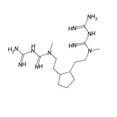 CN(CCC1CCCC1CCN(C)C(=N)NC(=N)N)C(=N)NC(=N)N